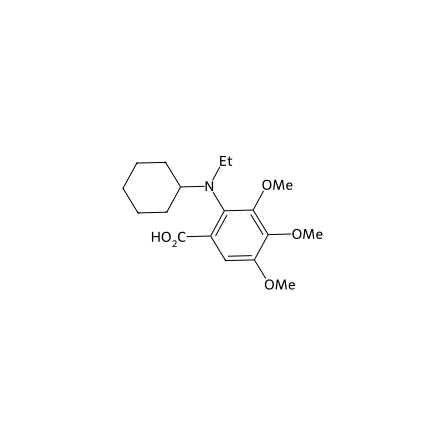 CCN(c1c(C(=O)O)cc(OC)c(OC)c1OC)C1CCCCC1